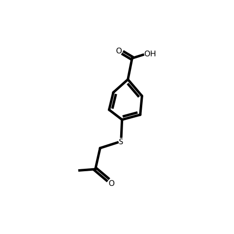 CC(=O)CSc1ccc(C(=O)O)cc1